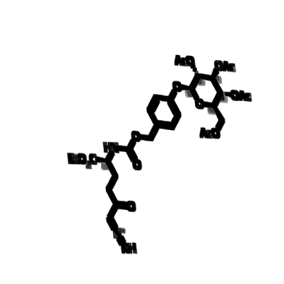 CCOC(=O)[C@H](CCC(=O)C=[N+]=N)NC(=O)OCc1ccc(O[C@@H]2O[C@H](COC(C)=O)[C@@H](OC(C)=O)[C@H](OC(C)=O)[C@H]2OC(C)=O)cc1